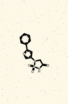 O=C1CN(c2csc(-c3ccccc3)c2)S(=O)(=O)N1